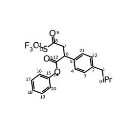 CC(C)Cc1ccc(C(CC(=O)SC(F)(F)F)C(=O)Oc2ccccc2)cc1